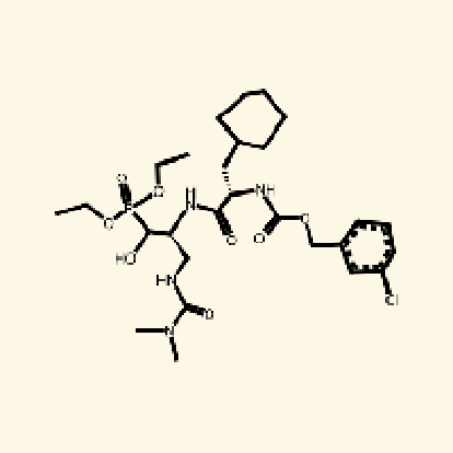 CCOP(=O)(OCC)C(O)[C@H](CNC(=O)N(C)C)NC(=O)[C@H](CC1CCCCC1)NC(=O)OCc1cccc(Cl)c1